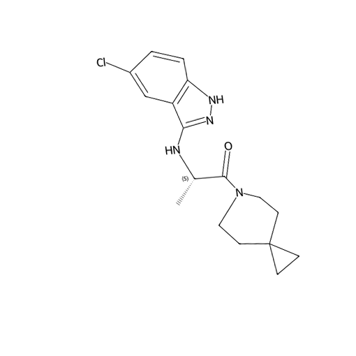 C[C@H](Nc1n[nH]c2ccc(Cl)cc12)C(=O)N1CCC2(CC1)CC2